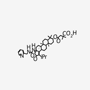 CC(C)C1=C2C3CCC4[C@@]5(C)CC[C@H](OC(=O)CC(C)(C)C(=O)O)C(C)(C)C5CC[C@@]4(C)[C@]3(C)CC[C@@]2(NC(=O)NCc2ccccn2)CC1=O